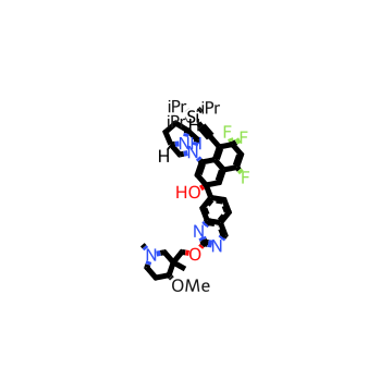 COC1CCN(C)CC1(C)COc1ncc2ccc(C3(O)C=C4C(F)=CC(F)(F)C(C#C[Si](C(C)C)(C(C)C)C(C)C)=C4C(N4C[C@H]5CC[C@@H](C4)N5)=C3)cc2n1